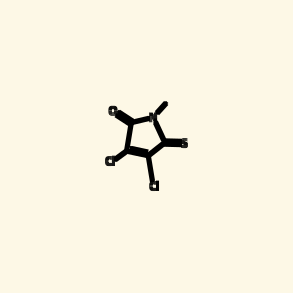 CN1C(=O)C(Cl)=C(Cl)C1=S